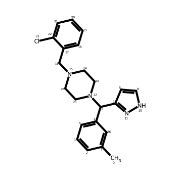 Cc1cccc(C(c2cc[nH]n2)N2CCN(Cc3ccccc3Cl)CC2)c1